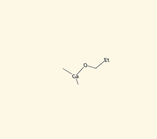 CCC[O][Ga]([CH3])[CH3]